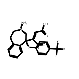 NN1CCc2ccccc2C(Oc2ccc(C(F)(F)F)cc2)(/C(=C/C(=O)O)C(=O)O)C1